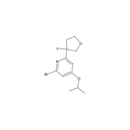 CC(C)Oc1cc(Br)nc(C2(F)CCOC2)c1